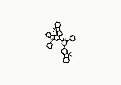 CC1(C)c2ccccc2-c2ccc(-c3cc(-c4ccccc4)nc(-c4cc5c(c6ccccc6n5-c5ccccc5)c5c6c(ccc45)-c4ccccc4[Si]6(C)C)n3)cc21